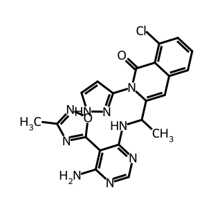 Cc1noc(-c2c(N)ncnc2NC(C)c2cc3cccc(Cl)c3c(=O)n2-c2cc[nH]n2)n1